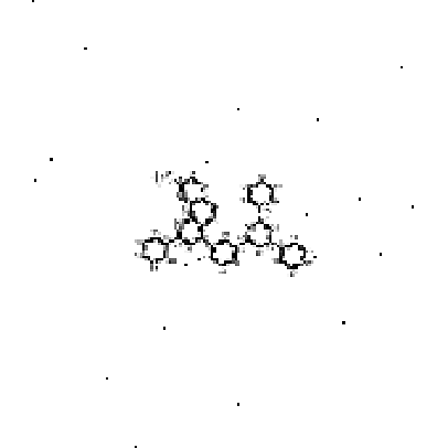 Cc1ccc2ccc3c(-c4cccc(-c5cc(-c6ccccc6)cc(-c6ccccc6)n5)c4)cc(-c4ccccc4)nc3c2n1